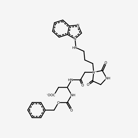 O=C([O-])CC(NC(=O)C[N+]1(CCCNn2cnc3ccccc32)C(=O)CNC1=O)NC(=O)OCc1ccccc1